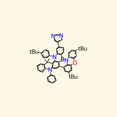 CC(C)(C)c1ccc(N2c3cc(-c4cncnc4)ccc3B3c4c(cc5c(c42)C(C)(C)c2ccccc2N5c2ccccc2)-c2cc(C(C)(C)C)cc4c2N3c2ccc(C(C)(C)C)cc2O4)cc1